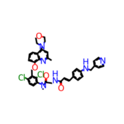 Cc1cc(N2CCOCC2)c2cccc(OCc3c(Cl)ccc(N(C)C(=O)CNC(=O)C=Cc4ccc(NCc5ccncc5)cc4)c3Cl)c2n1